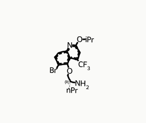 CCC[C@@H](N)COc1c(Br)ccc2nc(OC(C)C)cc(C(F)(F)F)c12